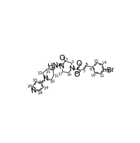 O=C1CN(S(=O)(=O)C=Cc2ccc(Br)cc2)CCN1NC1CCN(c2ccncc2)CC1